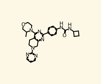 CC1COCCN1c1nc(-c2ccc(NC(=O)NC3CCC3)cc2)nc2c1CCN(c1ncccn1)C2